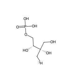 [2H]C[C@](O)(CO)[C@H](O)COP(=O)(O)O